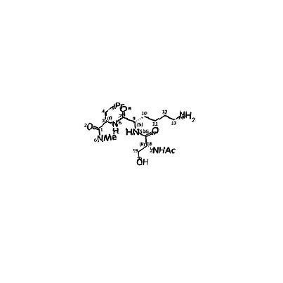 CNC(=O)[C@@H](CC(C)C)NC(=O)[C@H](CCCCN)NC(=O)[C@@H](CO)NC(C)=O